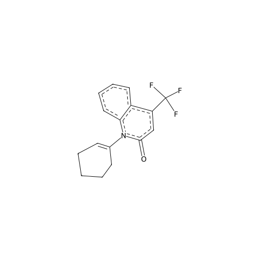 O=c1cc(C(F)(F)F)c2ccccc2n1C1=CCCCC1